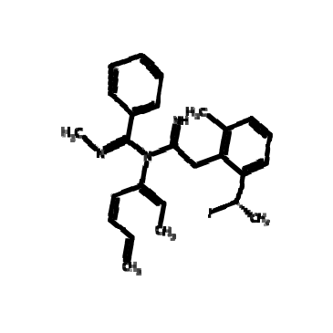 C=C/C=C\C(=C/C)N(C(=N)Cc1c(C)cccc1[C@H](C)I)/C(=N/C)c1ccccc1